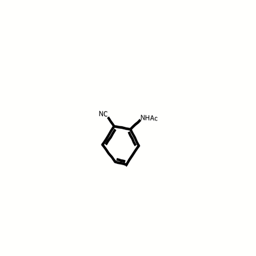 CC(=O)Nc1c[c]ccc1C#N